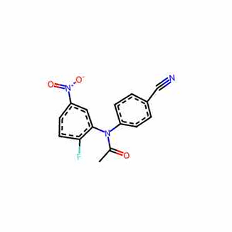 CC(=O)N(c1ccc(C#N)cc1)c1cc([N+](=O)[O-])ccc1F